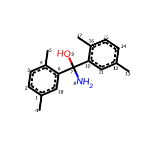 Cc1ccc(C)c(C(N)(O)c2cc(C)ccc2C)c1